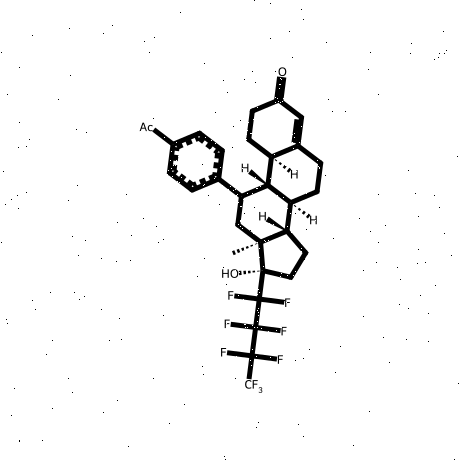 CC(=O)c1ccc(C2C[C@@]3(C)[C@@H](CC[C@@]3(O)C(F)(F)C(F)(F)C(F)(F)C(F)(F)F)[C@@H]3CCC4=CC(=O)CC[C@@H]4[C@@H]23)cc1